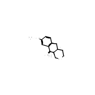 COc1ccc2c(c1)C(=O)[C@@H]1COCCC1C2